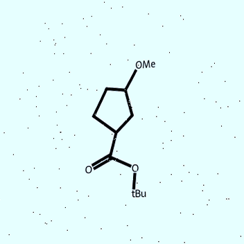 COC1CCC(C(=O)OC(C)(C)C)C1